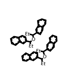 CCC(OC(CC)c1ccc2ccccc2c1)c1ccc2ccccc2c1.CCC(OC(CC)c1ccc2ccccc2c1)c1ccc2ccccc2c1